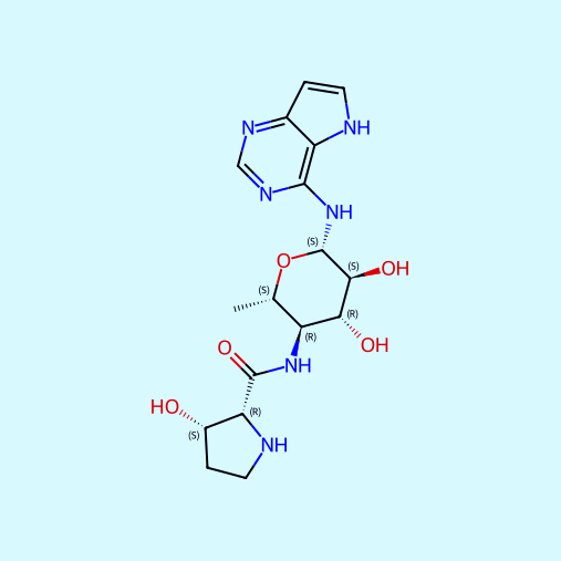 C[C@@H]1O[C@H](Nc2ncnc3cc[nH]c23)[C@@H](O)[C@H](O)[C@H]1NC(=O)[C@@H]1NCC[C@@H]1O